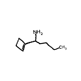 CCCCC(N)C1=CCC1